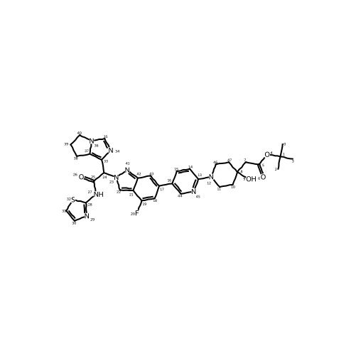 CC(C)(C)OC(=O)CC1(O)CCN(c2ccc(-c3cc(F)c4cn(C(C(=O)Nc5nccs5)c5ncn6c5CCC6)nc4c3)cn2)CC1